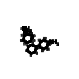 N.N.N.b1ccccc1.b1ccccc1.b1ccccc1